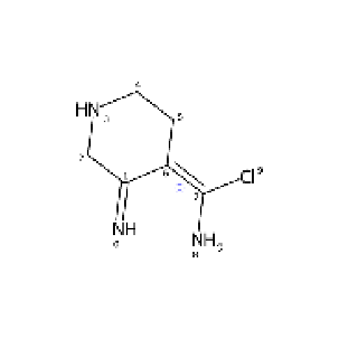 N=C1CNCC/C1=C(/N)Cl